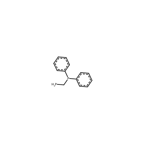 PCP(c1ccccc1)c1ccccc1